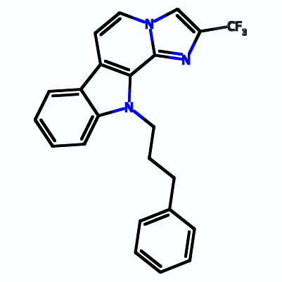 FC(F)(F)c1cn2ccc3c4ccccc4n(CCCc4ccccc4)c3c2n1